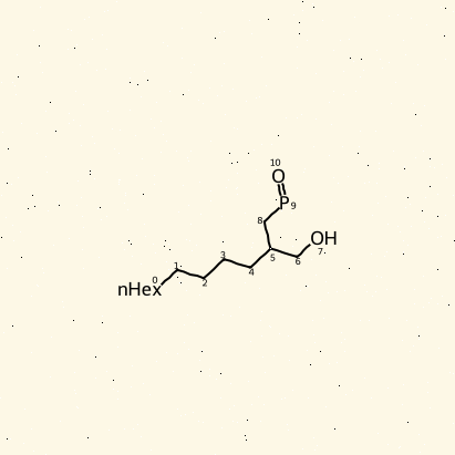 CCCCCCCCCCC(CO)CP=O